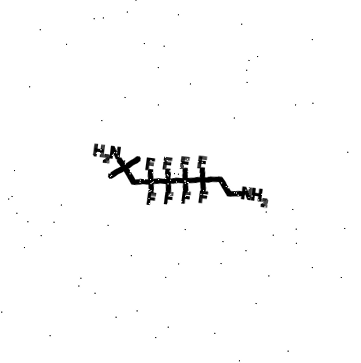 CC(C)(N)CC(F)(F)C(F)(F)C(F)(F)C(F)(F)CCN